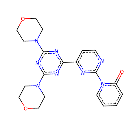 O=c1ccccn1-c1nccc(-c2nc(N3CCOCC3)nc(N3CCOCC3)n2)n1